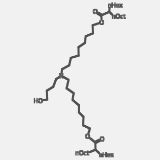 CCCCCCCCC(CCCCCC)C(=O)OCCCCCCCCCN(CCCCO)CCCCCCCCCOC(=O)C(CCCCCC)CCCCCCCC